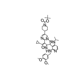 COc1ccc(CNc2nccc3c2c(-c2noc(C4CC4)c2-c2ncc(C4CCN(C(=O)OC(C)(C)C)CC4)cn2)nn3C(C)C)cc1OC